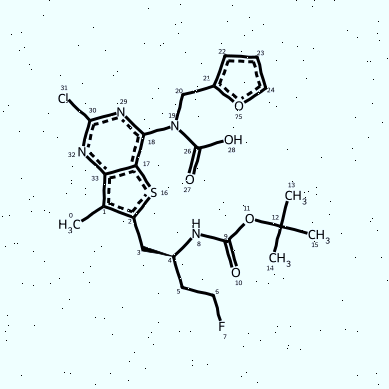 Cc1c(C[C@H](CCF)NC(=O)OC(C)(C)C)sc2c(N(Cc3ccco3)C(=O)O)nc(Cl)nc12